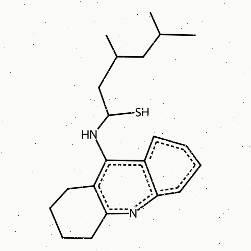 CC(C)CC(C)CC(S)Nc1c2c(nc3ccccc13)CCCC2